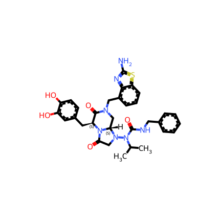 CC(C)N(C(=O)NCc1ccccc1)N1CC(=O)N2[C@@H](Cc3ccc(O)c(O)c3)C(=O)N(Cc3cccc4sc(N)nc34)C[C@@H]21